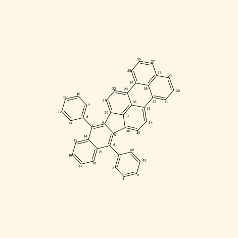 c1ccc(-c2c3c(c(-c4ccccc4)c4ccccc24)-c2ccc4c5cccc6cccc(c7ccc-3c2c74)c65)cc1